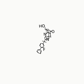 CC(C)(c1ccc(-c2ccccc2)c(F)c1)c1cc(/N=C2\NC(=O)CN2CCO)on1